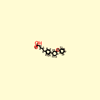 O=C(O)CCCCc1ccc([C@@H]2CCC[C@@H](Oc3ccccc3)C2)cc1